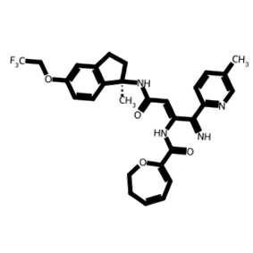 Cc1ccc(C(=N)/C(=C/C(=O)N[C@]2(C)CCc3cc(OCC(F)(F)F)ccc32)NC(=O)C2=CC=CCCO2)nc1